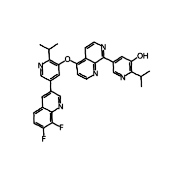 CC(C)c1ncc(-c2nccc3c(Oc4cc(-c5cnc6c(F)c(F)ccc6c5)cnc4C(C)C)ccnc23)cc1O